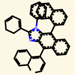 C/C=C\C(=C1\C=CC=CC1C)c1c2ccccc2c(-c2cccc3ccccc23)c2c1nc(C1=CC=CCC1)n2-c1ccccc1